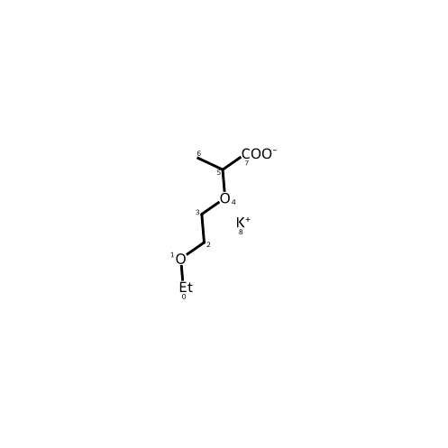 CCOCCOC(C)C(=O)[O-].[K+]